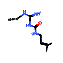 CCCCCCNC(=N)NC(=O)NCC=C(C)C